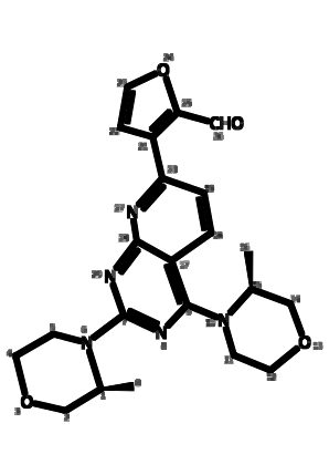 C[C@H]1COCCN1c1nc(N2CCOC[C@@H]2C)c2ccc(-c3ccoc3C=O)nc2n1